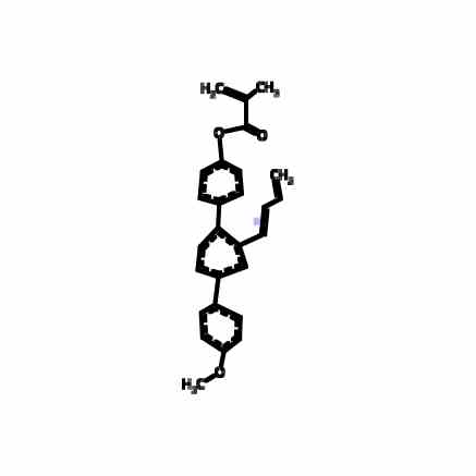 C=C/C=C/c1cc(-c2ccc(OC)cc2)ccc1-c1ccc(OC(=O)C(=C)C)cc1